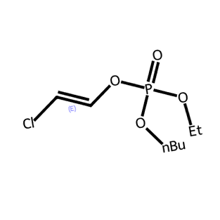 CCCCOP(=O)(O/C=C/Cl)OCC